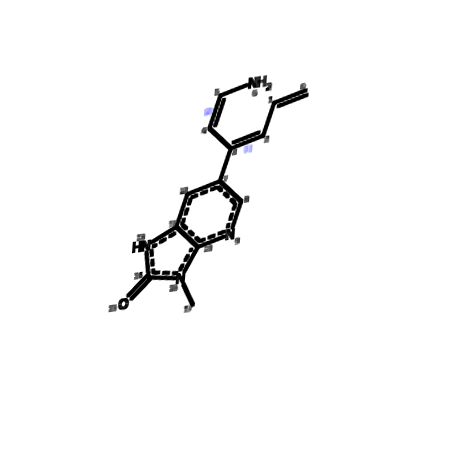 C=C/C=C(\C=C/N)c1cnc2c(c1)[nH]c(=O)n2C